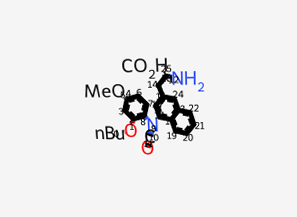 CCCCOc1cc(OC)ccc1N=C=O.N[C@H](Cc1ccc2ccccc2c1)C(=O)O